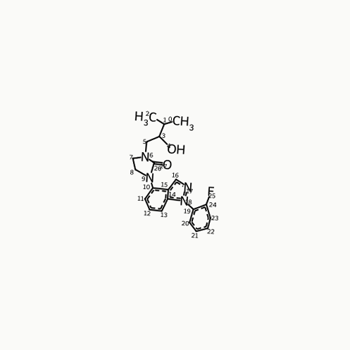 CC(C)C(O)CN1CCN(c2cccc3c2cnn3-c2ccccc2F)C1=O